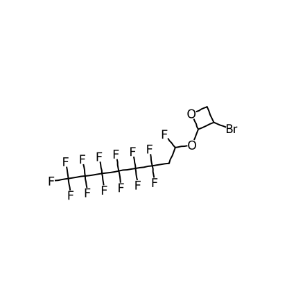 FC(CC(F)(F)C(F)(F)C(F)(F)C(F)(F)C(F)(F)C(F)(F)F)OC1OCC1Br